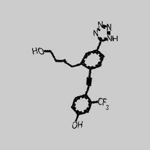 OCCCCc1cc(-c2nnn[nH]2)ccc1C#Cc1ccc(O)cc1C(F)(F)F